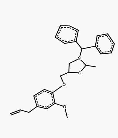 C=CCc1ccc(OCC2CN(C(c3ccccc3)c3ccccc3)C(C)O2)c(OC)c1